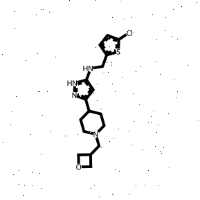 Clc1ccc(CNc2cc(C3CCN(CC4COC4)CC3)n[nH]2)s1